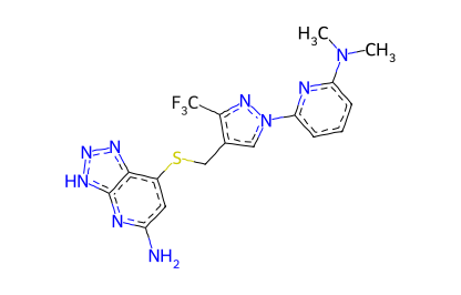 CN(C)c1cccc(-n2cc(CSc3cc(N)nc4[nH]nnc34)c(C(F)(F)F)n2)n1